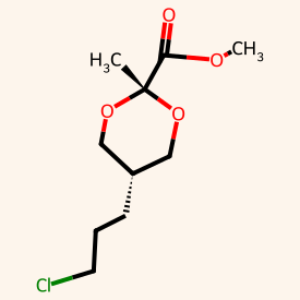 COC(=O)[C@]1(C)OC[C@H](CCCCl)CO1